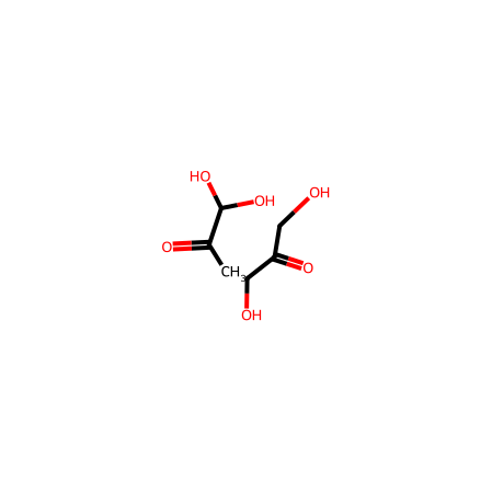 CC(=O)C(O)O.O=C(CO)CO